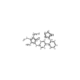 CCCCCn1c(CF)c(CCC)n(Cc2ccc(-c3ccccc3-c3nnn[nH]3)cc2)c1=O